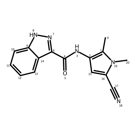 Cc1c(NC(=O)c2n[nH]c3ccccc23)cc(C#N)n1C